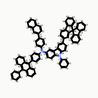 c1ccc(-c2c3ccccc3c(-c3ccc(N(c4ccc(-c5ccc6ccccc6c5)cc4)c4ccc5c(c4)c4cc(-c6ccc7c(c6)C6(c8ccccc8-c8ccccc86)c6ccccc6-7)ccc4n5-c4ccccc4)cc3)c3ccccc23)cc1